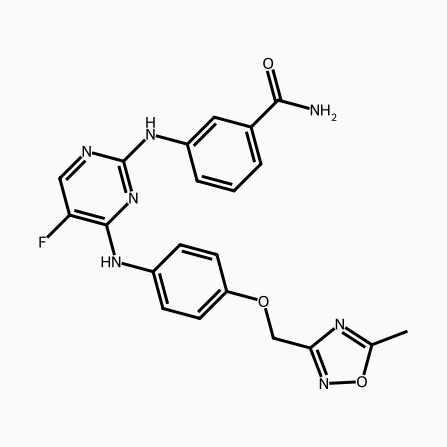 Cc1nc(COc2ccc(Nc3nc(Nc4cccc(C(N)=O)c4)ncc3F)cc2)no1